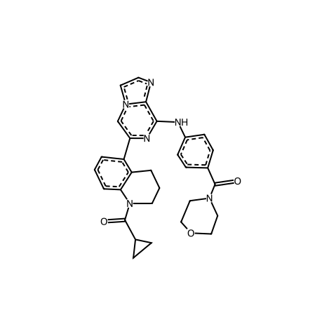 O=C(c1ccc(Nc2nc(-c3cccc4c3CCCN4C(=O)C3CC3)cn3ccnc23)cc1)N1CCOCC1